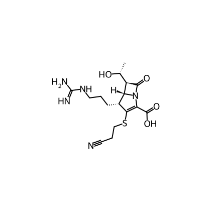 C[C@@H](O)[C@H]1C(=O)N2C(C(=O)O)=C(SCCC#N)[C@H](CCCNC(=N)N)[C@H]12